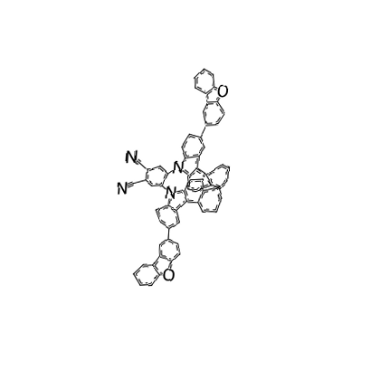 N#Cc1cc(-n2c3ccc(-c4ccc5oc6ccccc6c5c4)cc3c3c4ccccc4ccc32)c(-n2c3ccc(-c4ccc5oc6ccccc6c5c4)cc3c3c4ccccc4ccc32)cc1C#N